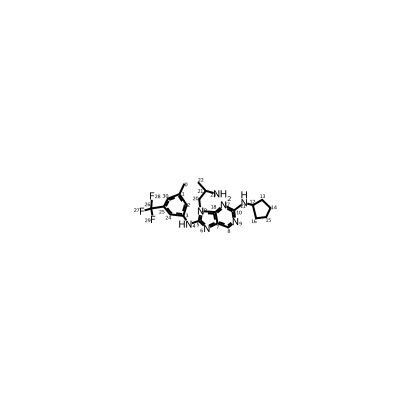 Cc1cc(Nc2nc3cnc(NC4CCCC4)nc3n2CC(C)N)cc(C(F)(F)F)c1